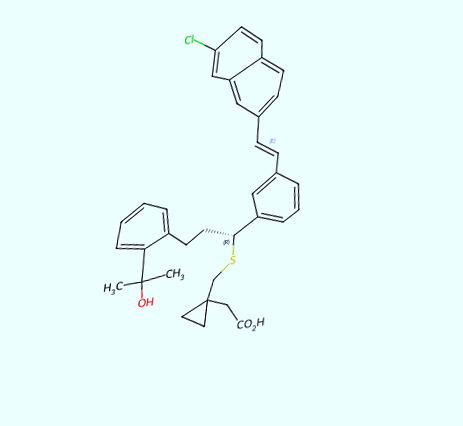 CC(C)(O)c1ccccc1CC[C@@H](SCC1(CC(=O)O)CC1)c1cccc(/C=C/c2ccc3ccc(Cl)cc3c2)c1